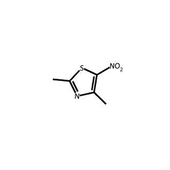 Cc1nc(C)c([N+](=O)[O-])s1